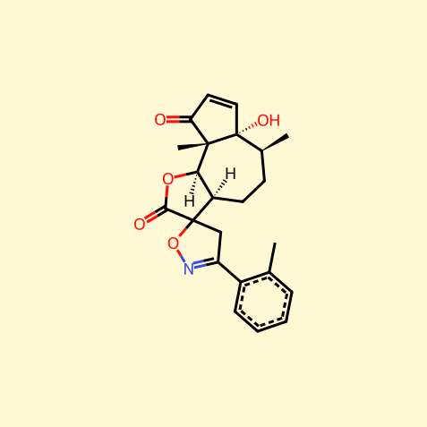 Cc1ccccc1C1=NOC2(C1)C(=O)O[C@@H]1[C@H]2CC[C@H](C)[C@]2(O)C=CC(=O)[C@@]12C